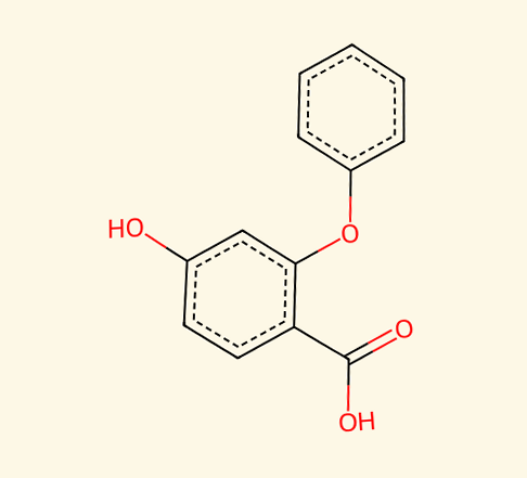 O=C(O)c1ccc(O)cc1Oc1ccccc1